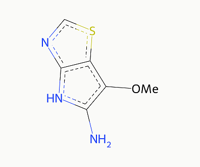 COc1c(N)[nH]c2ncsc12